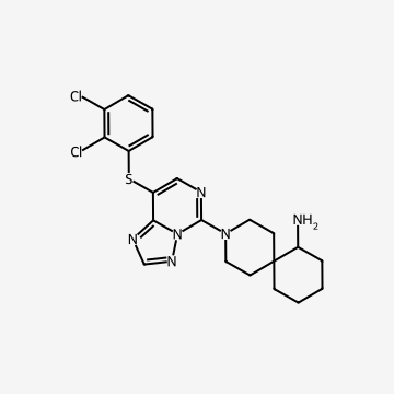 NC1CCCCC12CCN(c1ncc(Sc3cccc(Cl)c3Cl)c3ncnn13)CC2